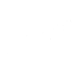 C=C(C)C(=O)OCC(COC(=O)c1ccc(C)cc1)OC